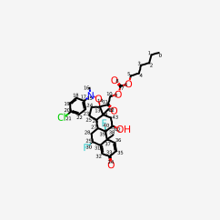 CCCCCCOC(=O)OCC(=O)[C@@]1(ON(C)c2ccc(Cl)cc2)CCC2C3C[C@H](F)C4=CC(=O)C=CC4(C)[C@@]3(F)C(O)CC21C